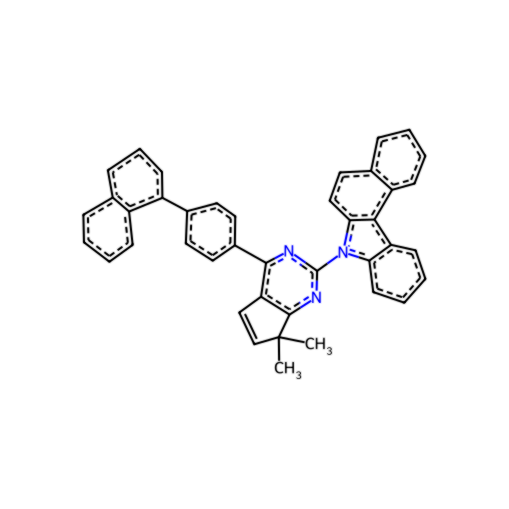 CC1(C)C=Cc2c(-c3ccc(-c4cccc5ccccc45)cc3)nc(-n3c4ccccc4c4c5ccccc5ccc43)nc21